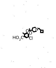 Cc1c(C(=O)O)cc(Cl)c2c1OC(C)(C1CCN(CC3CCC3)CC1)O2